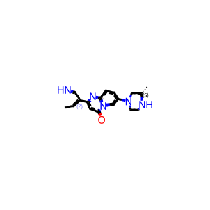 C/C=C(\C=N)c1cc(=O)n2cc(N3CCN[C@@H](C)C3)ccc2n1